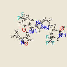 O=C(N[C@H](c1cn2nc(CC3C[C@@H](C(F)(F)F)CNC3=O)ccc2n1)C1CCC(F)(F)CC1)c1conc1C1CC1